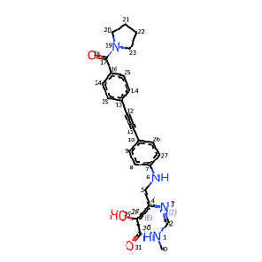 CN/C=N\C(CNc1ccc(C#Cc2ccc(C(=O)N3CCCC3)cc2)cc1)=C(\O)C=O